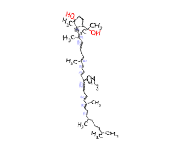 CC(C)=CCCC(C)/C=C/C=C(C)/C=C/C=C(C)/C=C/C=C/C(C)=C/C=C/C(C)=C/C=C1\C(C(C)(C)O)CCC1(C)O